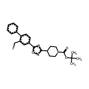 CC(C)(C)OC(=O)N1CCC(c2noc(-c3ccc(-c4ccccc4)c(CF)c3)n2)CC1